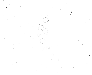 CCc1cc(Nc2nccn3c(-c4ccc(OC)c(F)c4F)cnc23)ccc1C(=O)NCCOCC[N+](C)(C)C